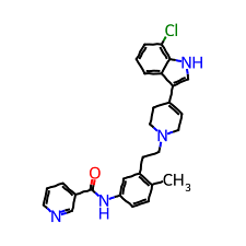 Cc1ccc(NC(=O)c2cccnc2)cc1CCN1CC=C(c2c[nH]c3c(Cl)cccc23)CC1